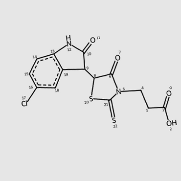 O=C(O)CCN1C(=O)C(C2C(=O)Nc3ccc(Cl)cc32)SC1=S